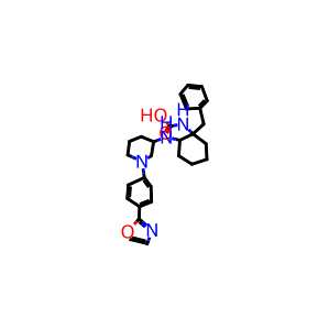 O=C(O)NC1(Cc2ccccc2)CCCCC1NC1CCCN(c2ccc(-c3ncco3)cc2)C1